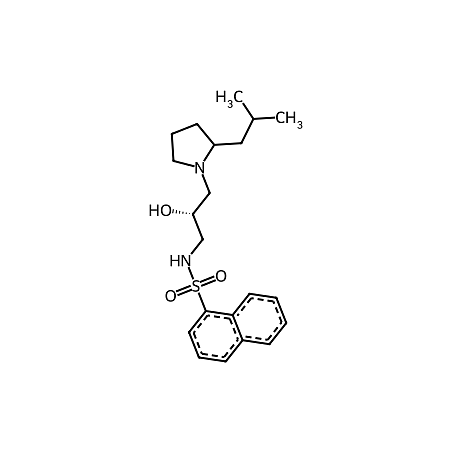 CC(C)CC1CCCN1C[C@@H](O)CNS(=O)(=O)c1cccc2ccccc12